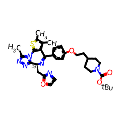 Cc1sc2c(c1C)C(c1ccc(OCCC3CCN(C(=O)OC(C)(C)C)CC3)cc1)=N[C@@H](Cc1ncco1)c1nnc(C)n1-2